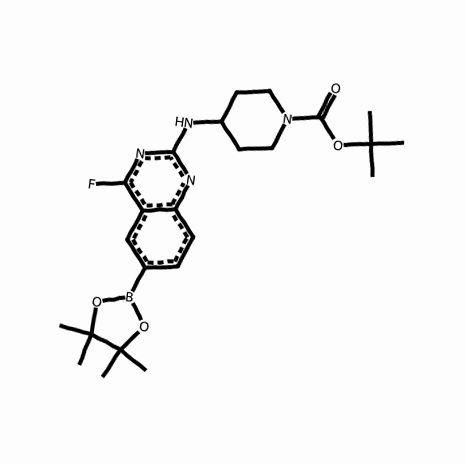 CC(C)(C)OC(=O)N1CCC(Nc2nc(F)c3cc(B4OC(C)(C)C(C)(C)O4)ccc3n2)CC1